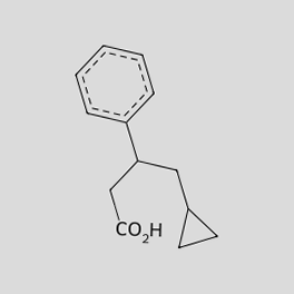 O=C(O)CC(CC1CC1)c1ccccc1